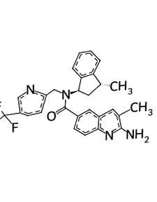 Cc1cc2cc(C(=O)N(Cc3ccc(C(F)(F)F)cn3)[C@@H]3C[C@@H](C)c4ccccc43)ccc2nc1N